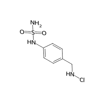 NS(=O)(=O)Nc1ccc(CNCl)cc1